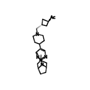 CC(=O)[C@H]1C[C@H](CN2CCC(c3cnc(N4C5CCC4CN(C)C5)nc3)CC2)C1